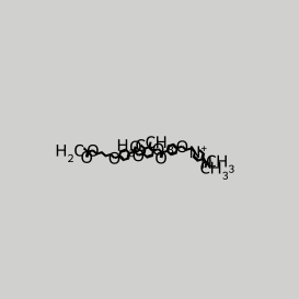 C=CC(=O)OCCCCOc1ccc(C(=O)Oc2ccc(OC(=O)c3ccc(OCC[n+]4ccc(N(C)C)cc4)cc3)c(C)c2C)cc1